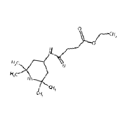 CCOC(=O)CCC(=O)NC1CC(C)(C)NC(C)(C)C1